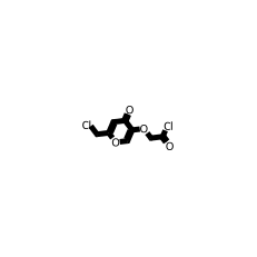 O=C(Cl)COc1coc(CCl)cc1=O